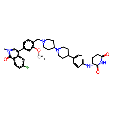 C=C(/C=C\C(=C/C)C1CCN(C2CCN(Cc3ccc(-c4cn(C)c(=O)c5ccc(F)cc45)cc3OC(F)(F)F)CC2)CC1)NC1CCC(=O)NC1=O